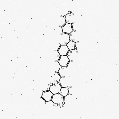 Cc1cccc(C)c1N1C(=O)CS/C1=N\N=C\N1C=CC2=C3N=CN(c4ccc(OC(F)(F)F)cc4)C3C=CC2=C1